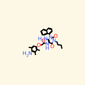 CCCCn1c(=O)c(NC(=O)COc2cc(C)c(N)c(C)c2C)c(N)n(-c2cccc3ccccc23)c1=O